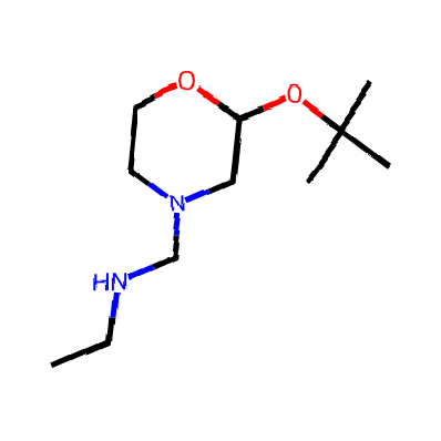 CCNCN1CCOC(OC(C)(C)C)C1